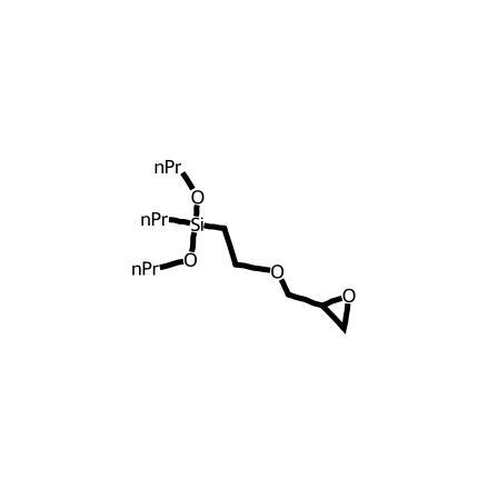 CCCO[Si](CCC)(CCOCC1CO1)OCCC